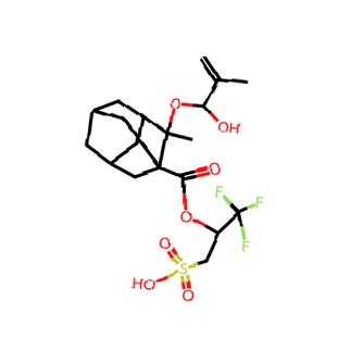 C=C(C)C(O)OC1(C)C2CC3CC(C2)CC1(C(=O)OC(CS(=O)(=O)O)C(F)(F)F)C3